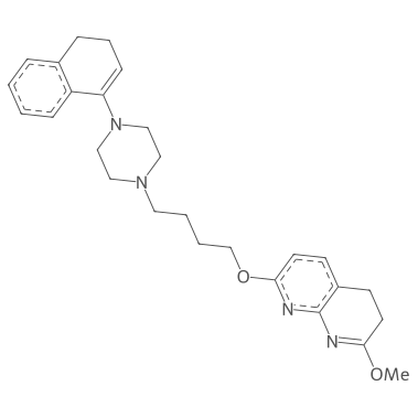 COC1=Nc2nc(OCCCCN3CCN(C4=CCCc5ccccc54)CC3)ccc2CC1